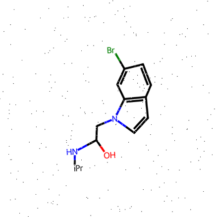 CC(C)NC(O)Cn1ccc2ccc(Br)cc21